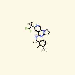 Cc1c([C@@H](C)/N=c2\nc3n(c4cnc(C5(C(F)F)CC5)cc24)CCC3)cccc1C(F)(F)F